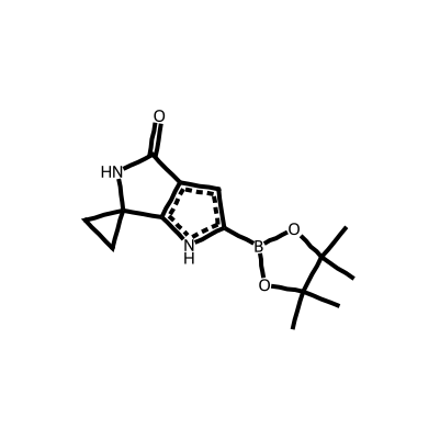 CC1(C)OB(c2cc3c([nH]2)C2(CC2)NC3=O)OC1(C)C